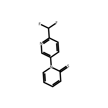 FC(F)c1ccc(-n2ccccc2=S)cn1